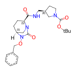 CC(C)(C)OC(=O)N1CC[C@H](CNC(=O)[C@@H]2CC[C@H]3CN2C(=O)N3OCc2ccccc2)C1